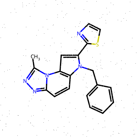 Cc1nnc2ccc3c(cc(-c4nccs4)n3Cc3ccccc3)n12